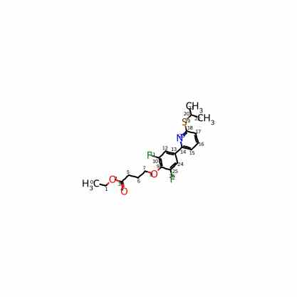 CCOC(=O)CCCOc1c(F)cc(-c2cccc(SC(C)C)n2)cc1F